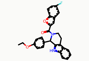 CCOc1ccc(C2c3[nH]c4ccccc4c3CCN2C(=O)c2cc3cc(F)ccc3o2)cc1